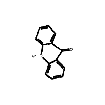 O=c1c2ccccc2oc2ccccc12.[H+]